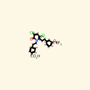 O=C(O)c1ccc(CCn2c(CCc3cccc(OC(F)(F)F)c3)c(Cl)cc(Cl)c2=O)cc1